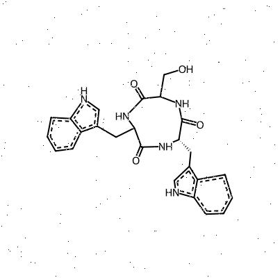 O=C1N[C@@H](Cc2c[nH]c3ccccc23)C(=O)NC(CO)C(=O)NC1Cc1c[nH]c2ccccc12